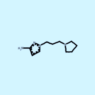 Nc1ccn(CCCN2CCCC2)n1